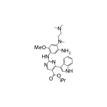 COc1cc(N(C)CCN(C)C)c(N)cc1Nc1ncc(C(=O)OC(C)C)c(-c2c[nH]c3ccccc23)n1